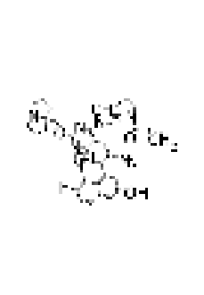 C#Cc1c(F)ccc2cc(O)cc(-c3c(C#N)cc4c(N(C)C[C@@H]5CCCN5C(=O)C=C)nc(OCC56CCCN5CCC6)nc4c3F)c12